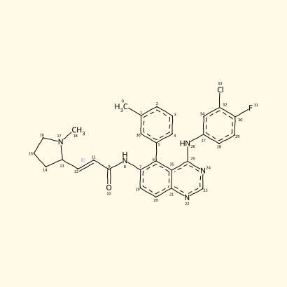 Cc1cccc(-c2c(NC(=O)/C=C/C3CCCN3C)ccc3ncnc(Nc4ccc(F)c(Cl)c4)c23)c1